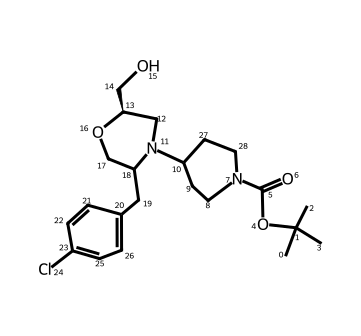 CC(C)(C)OC(=O)N1CCC(N2C[C@H](CO)OCC2Cc2ccc(Cl)cc2)CC1